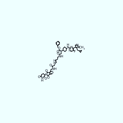 Cn1ncc(-c2nc(NC3CCC(N(CC(=O)NCCCCNCC(=O)NCc4scc5c4C(=O)N(C4CCC(=O)NC4=O)C5=O)C(=O)OCc4ccccc4)CC3)ncc2F)c1CC1CC1